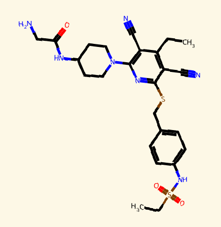 CCc1c(C#N)c(SCc2ccc(NS(=O)(=O)CC)cc2)nc(N2CCC(NC(=O)CN)CC2)c1C#N